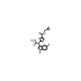 NC(=O)C(c1nc(C(=O)OCC2CC2)cs1)c1c[nH]c2ccc(F)cc12